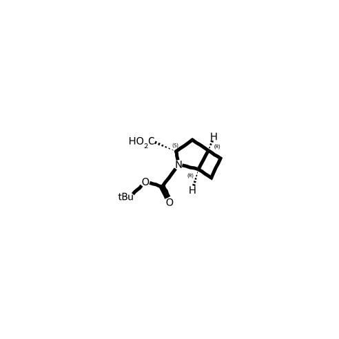 CC(C)(C)OC(=O)N1[C@@H]2CC[C@@H]2C[C@H]1C(=O)O